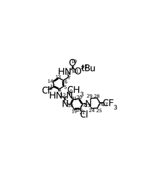 Cn1c(Nc2cc(CNC(=O)OC(C)(C)C)ccc2Cl)nc2cc(Cl)c(N3CCC(C(F)(F)F)CC3)cc21